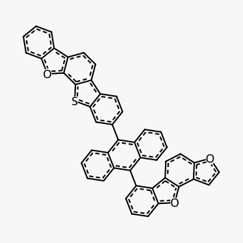 c1ccc2c(c1)oc1c2ccc2c3ccc(-c4c5ccccc5c(-c5cccc6oc7c8ccoc8ccc7c56)c5ccccc45)cc3sc21